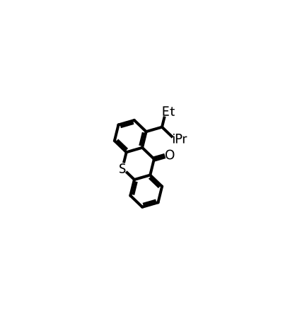 CCC(c1cccc2sc3ccccc3c(=O)c12)C(C)C